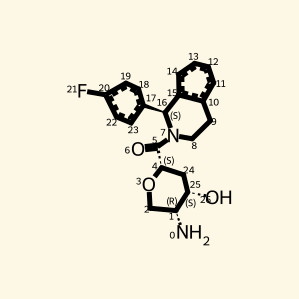 N[C@@H]1CO[C@H](C(=O)N2CCc3ccccc3[C@@H]2c2ccc(F)cc2)C[C@@H]1O